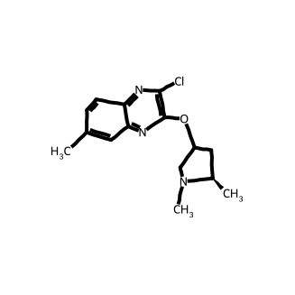 Cc1ccc2nc(Cl)c(OC3C[C@@H](C)N(C)C3)nc2c1